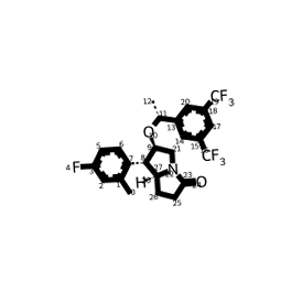 Cc1cc(F)ccc1[C@@H]1[C@@H](O[C@H](C)c2cc(C(F)(F)F)cc(C(F)(F)F)c2)CN2C(=O)CC[C@@H]12